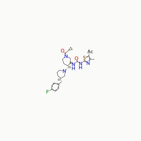 CC(=O)c1sc(NC(=O)N[C@H]2CN(C(=O)C3CC3)CC[C@H]2CN2CCC[C@@H](Cc3ccc(F)cc3)C2)nc1C